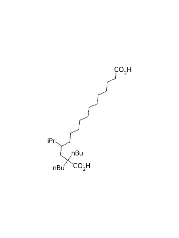 CCCCC(CCCC)(CC(CCCCCCCCCCCC(=O)O)C(C)C)C(=O)O